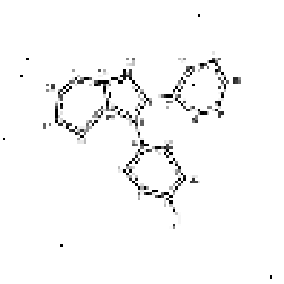 Ic1ccc(-n2c(-c3ccccc3)nc3ccccc32)cc1